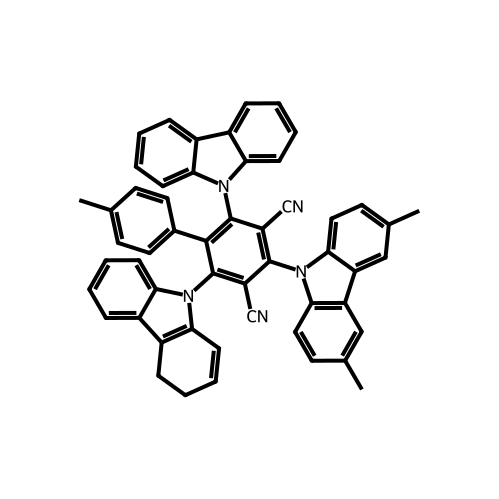 Cc1ccc(-c2c(-n3c4c(c5ccccc53)CCC=C4)c(C#N)c(-n3c4ccc(C)cc4c4cc(C)ccc43)c(C#N)c2-n2c3ccccc3c3ccccc32)cc1